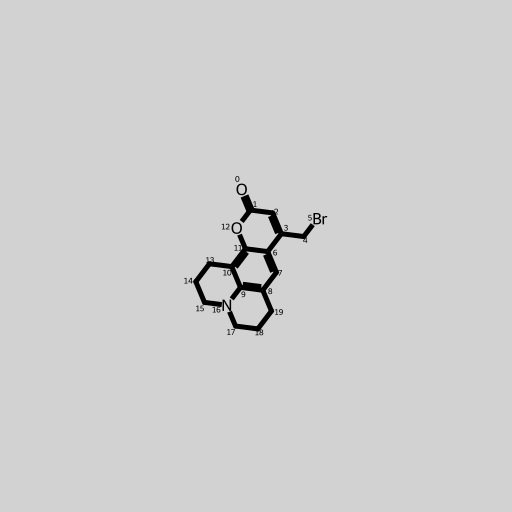 O=c1cc(CBr)c2cc3c4c(c2o1)CCCN4CCC3